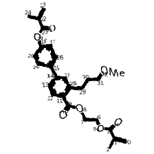 C=C(C)C(=O)OCCOC(=O)c1ccc(-c2ccc(OC(=O)C(=C)C)cc2)cc1CCCOC